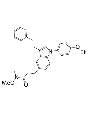 CCOc1ccc(-n2cc(CCc3ccccc3)c3cc(CCC(=O)N(C)OC)ccc32)cc1